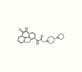 O=C(CN1CCC(N2CCCC2)CC1)Nc1ccc2[nH]c(=O)c3cccc4c3c2c1C4